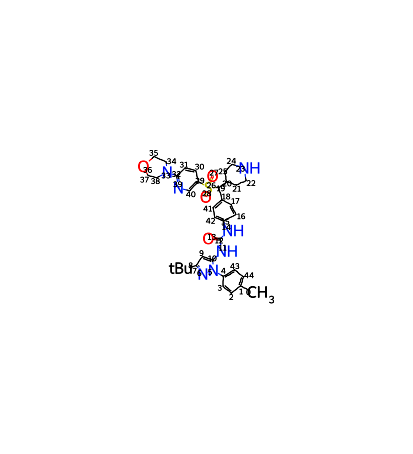 Cc1ccc(-n2nc(C(C)(C)C)cc2NC(=O)Nc2ccc(C(C3CCNCC3)S(=O)(=O)c3ccc(N4CCOCC4)nc3)cc2)cc1